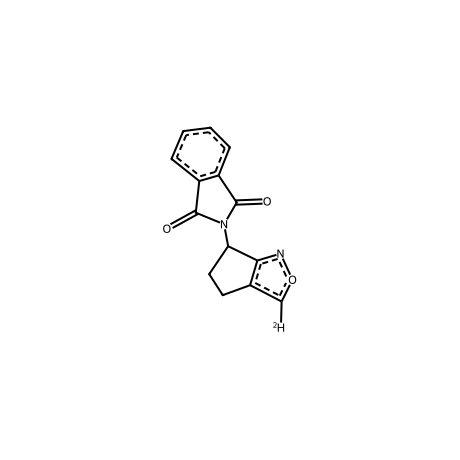 [2H]c1onc2c1CCC2N1C(=O)c2ccccc2C1=O